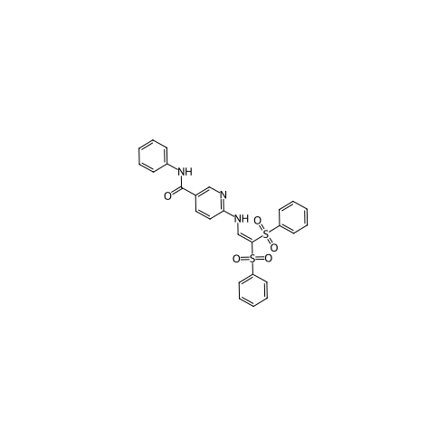 O=C(Nc1ccccc1)c1ccc(NC=C(S(=O)(=O)c2ccccc2)S(=O)(=O)c2ccccc2)nc1